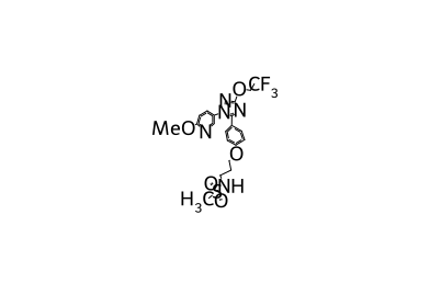 COc1ccc(-n2nc(OCC(F)(F)F)nc2-c2ccc(OCCCNS(C)(=O)=O)cc2)cn1